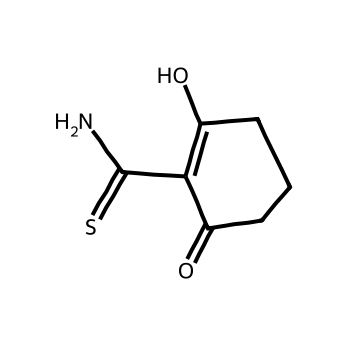 NC(=S)C1=C(O)CCCC1=O